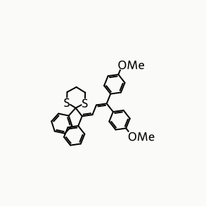 COc1ccc(C(=CC=C(c2ccccc2)C2(c3ccccc3)SCCCS2)c2ccc(OC)cc2)cc1